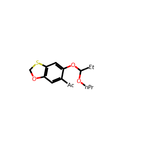 CCCOC(CC)Oc1cc2c(cc1C(C)=O)OCS2